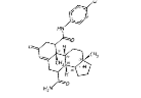 C[C@@]12CCC[C@H]1[C@@H]1C(C(N)=O)CC3=CC(=O)CC(C(=O)Nc4ccc(Cl)cc4)[C@]3(C)[C@@H]1CC2